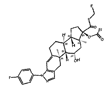 CCC(=O)O[C@]1(C(=O)SCF)CC[C@H]2[C@@H]3CCC4=Cc5c(cnn5-c5ccc(F)cc5)C[C@]4(C)[C@H]3[C@@H](O)C[C@@]21C